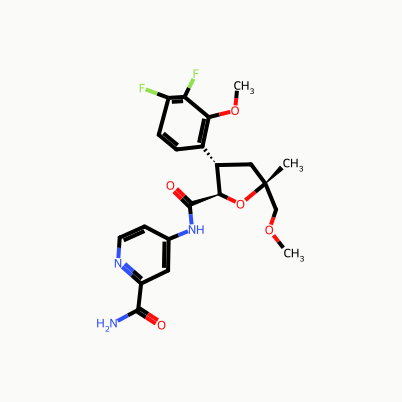 COC[C@@]1(C)C[C@@H](c2ccc(F)c(F)c2OC)[C@H](C(=O)Nc2ccnc(C(N)=O)c2)O1